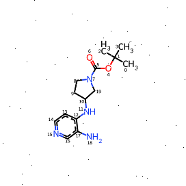 CC(C)(C)OC(=O)N1CCC(Nc2ccncc2N)C1